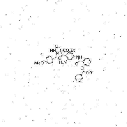 CCCC(Oc1ccccc1C(=O)Nc1ccc(C(=O)C2(C(=O)OCC)C=NNN2Cc2ccc(OC)cc2)c(N)c1)c1ccccc1